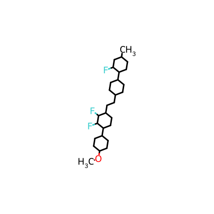 COC1CCC(C2CCC(CCC3CCC(C4CCC(C)CC4F)CC3)C(F)C2F)CC1